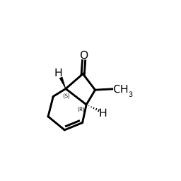 CC1C(=O)[C@H]2CCC=C[C@H]12